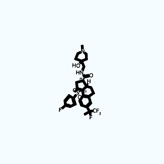 CN1CCC(O)(CNC(=O)[C@@H]2CC[C@@]3(S(=O)(=O)c4ccc(F)cc4)c4ccc(C(C)(F)C(F)(F)F)cc4CC[C@@H]23)CC1